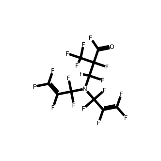 O=C(F)C(F)(C(F)(F)F)C(F)(F)N(C(F)(F)C(F)=C(F)F)C(F)(F)C(F)=C(F)F